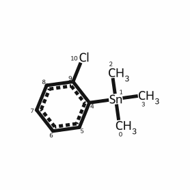 [CH3][Sn]([CH3])([CH3])[c]1ccccc1Cl